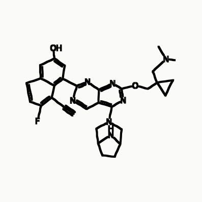 C#Cc1c(F)ccc2cc(O)cc(-c3ncc4c(N5CC6CCC(C5)N6)nc(OCC5(CN(C)C)CC5)nc4n3)c12